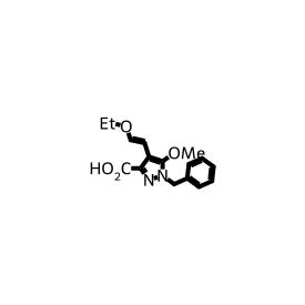 CCO/C=C/c1c(C(=O)O)nn(Cc2ccccc2)c1OC